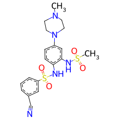 CN1CCN(c2ccc(NS(=O)(=O)c3cccc(C#N)c3)c(NS(C)(=O)=O)c2)CC1